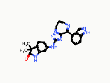 CC1(C)C(=O)Nc2cc(Nc3nc4n(n3)CC=CN=C4c3cccc4[nH]ncc34)ccc21